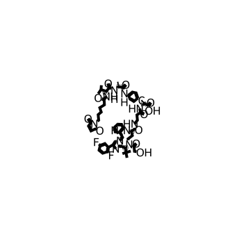 CC(C)[C@H](NC(=O)CCCCCN1C(=O)C=CC1=O)C(=O)N[C@@H](C)C(=O)Nc1ccc(C[C@H](NC(=O)CCNC(=O)[C@@H](N)CCN(C(=O)CO)[C@@H](c2nc(-c3cc(F)ccc3F)cn2Cc2ccccc2)C(C)(C)C)C(=O)O)cc1